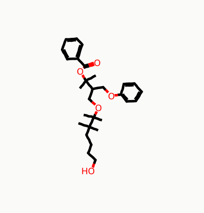 CC(C)(OC(=O)c1ccccc1)C(COc1ccccc1)COC(C)(C)C(C)(C)CCCCO